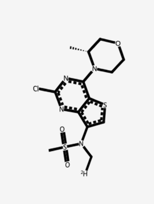 [2H]CN(c1csc2c(N3CCOC[C@H]3C)nc(Cl)nc12)S(C)(=O)=O